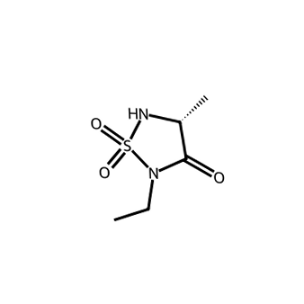 CCN1C(=O)[C@@H](C)NS1(=O)=O